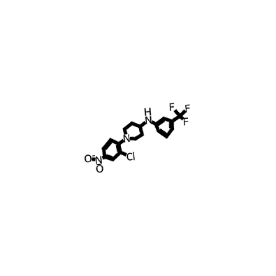 O=[N+]([O-])c1ccc(N2CCC(Nc3cccc(C(F)(F)F)c3)CC2)c(Cl)c1